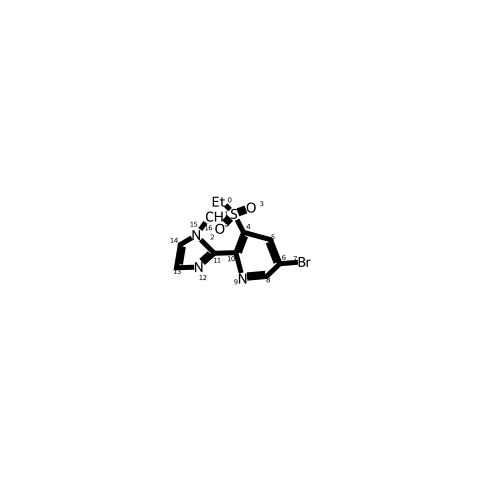 CCS(=O)(=O)c1cc(Br)cnc1-c1nccn1C